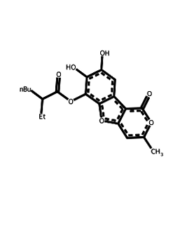 CCCCC(CC)C(=O)Oc1c(O)c(O)cc2c1oc1cc(C)oc(=O)c12